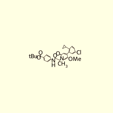 COc1cn(C(C)C(=O)Nc2ccc(C(=O)OC(C)(C)C)cc2)c(=O)cc1-c1cc(Cl)ccc1C1CC1